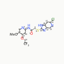 COc1cnc(NC(=O)CSc2nc3cnc(Cl)cc3[nH]2)cc1OCC(F)(F)F